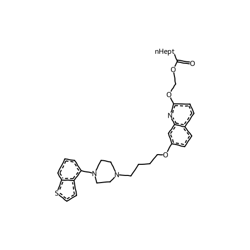 CCCCCCCC(=O)OCOc1ccc2ccc(OCCCCN3CCN(c4cccc5sccc45)CC3)cc2n1